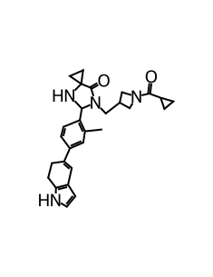 Cc1cc(C2=Cc3cc[nH]c3CC2)ccc1C1NC2(CC2)C(=O)N1CC1CN(C(=O)C2CC2)C1